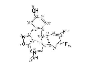 Cc1noc(C)c1-c1c(C=NO)c2cc(F)c(F)cc2n1-c1ccc(O)cc1